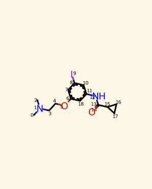 CN(C)CCOc1cc(I)cc(NC(=O)C2CC2)c1